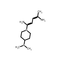 C/C(N)=C/C=C(\N)N1CCC(N(C)C)CC1